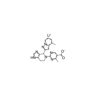 Cc1nc(N2CCc3[nH]cnc3C2c2cc3c(C)cccn3n2)ncc1C(=O)[O-].[Li+]